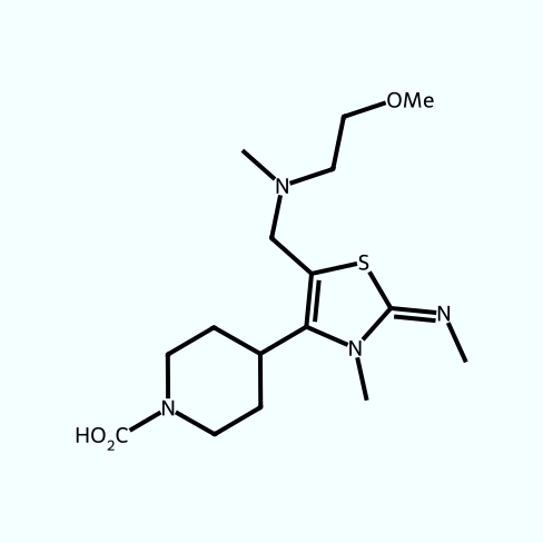 CN=c1sc(CN(C)CCOC)c(C2CCN(C(=O)O)CC2)n1C